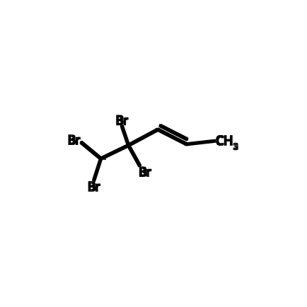 CC=CC(Br)(Br)[C](Br)Br